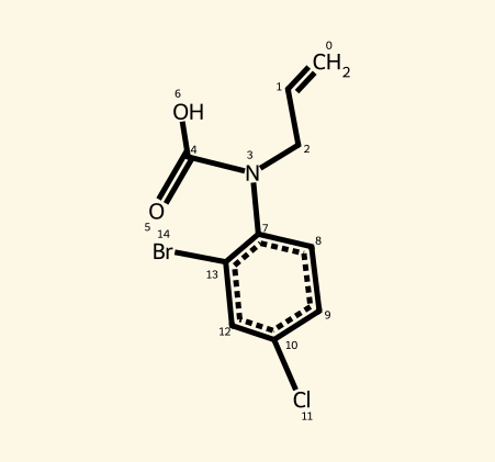 C=CCN(C(=O)O)c1ccc(Cl)cc1Br